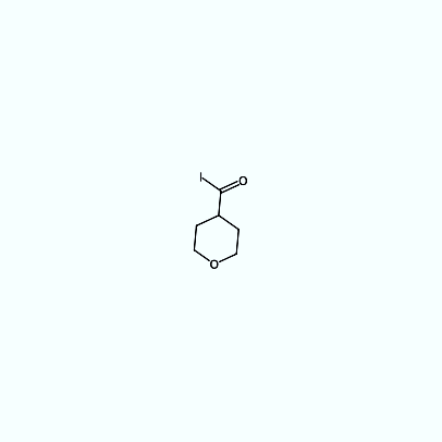 O=C(I)C1CCOCC1